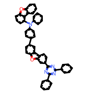 c1ccc(-c2nc(-c3ccccc3)nc(-c3ccc4c(c3)oc3ccc(-c5ccc(N(c6ccccc6)c6cccc7oc8ccccc8c67)cc5)cc34)n2)cc1